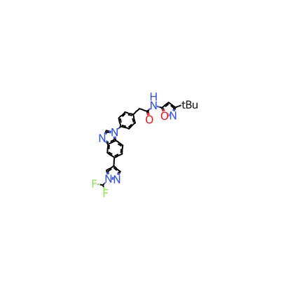 CC(C)(C)c1cc(NC(=O)Cc2ccc(-n3cnc4cc(-c5cnn(C(F)F)c5)ccc43)cc2)on1